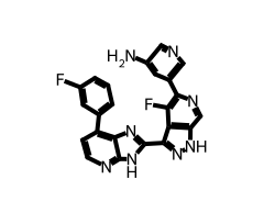 Nc1cncc(-c2ncc3[nH]nc(-c4nc5c(-c6cccc(F)c6)ccnc5[nH]4)c3c2F)c1